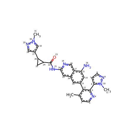 Cc1ccnc(-c2ccnn2C)c1-c1cc(N)c2cnc(NC(=O)C3CC3c3cnn(C)c3)cc2c1